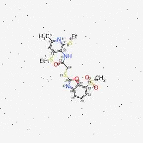 CCSc1cc(C)nc(SCC)c1NC(=O)CSc1nc2cccc(S(C)(=O)=O)c2o1